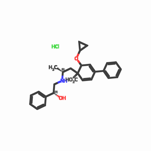 C[C@H](CC1(C(=O)O)C=CC(c2ccccc2)=CC1OC1CC1)NC[C@H](O)c1ccccc1.Cl